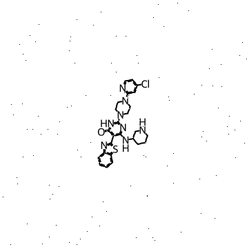 O=c1[nH]c(N2CCN(c3cc(Cl)ccn3)CC2)nc(NC2CCCNC2)c1-c1nc2ccccc2s1